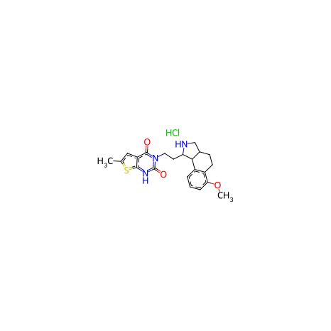 COc1cccc2c1CCC1CNC(CCn3c(=O)[nH]c4sc(C)cc4c3=O)C21.Cl